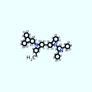 C=Cc1ccc2c(c1)c1cc(-c3ccc4c(c3)c3ccccc3n4-c3cc(-c4ccccc4)nc(-c4ccccc4)c3)ccc1n2-c1ccc2c3ccccc3c3ccccc3c2c1